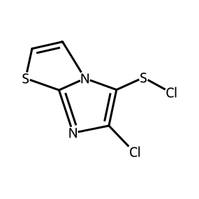 ClSc1c(Cl)nc2sccn12